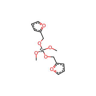 CO[Si](OC)(OCc1ccco1)OCc1ccco1